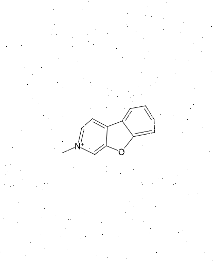 C[n+]1ccc2c(c1)oc1ccccc12